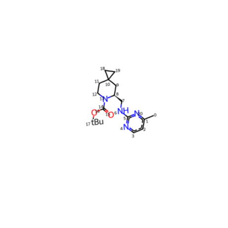 Cc1ccnc(NC[C@@H]2CC3(CCN2C(=O)OC(C)(C)C)CC3)n1